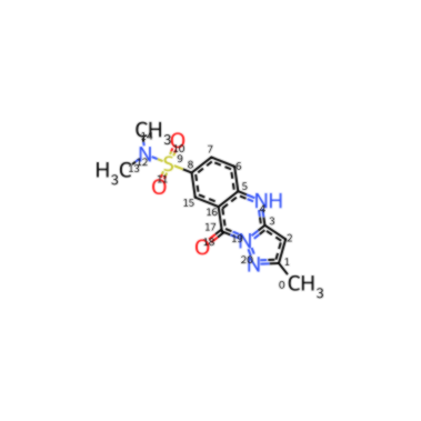 Cc1cc2[nH]c3ccc(S(=O)(=O)N(C)C)cc3c(=O)n2n1